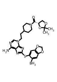 Bc1cc2c(cc1Sc1nc3c(N)ncn(CCC4CCN(C(=O)[C@@H]5COC(C)(C)O5)CC4)c-3n1)OCO2